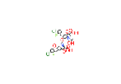 CC(C)[C@@H](CO)n1cc(C(=O)O)c(=O)c2cc(Cc3cccc(Cl)c3F)c(OCCn3cc(C(=O)O)c(=O)c4cc(Cc5cccc(Cl)c5F)c(C=O)cc43)cc21